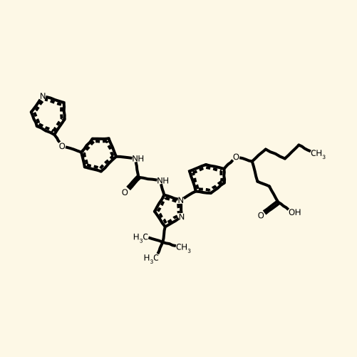 CCCCC(CCC(=O)O)Oc1ccc(-n2nc(C(C)(C)C)cc2NC(=O)Nc2ccc(Oc3ccncc3)cc2)cc1